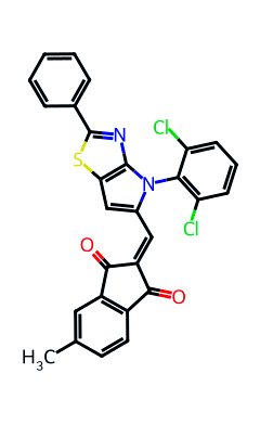 Cc1ccc2c(c1)C(=O)/C(=C\c1cc3sc(-c4ccccc4)nc3n1-c1c(Cl)cccc1Cl)C2=O